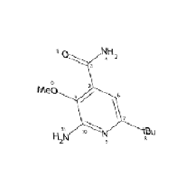 COc1c(C(N)=O)cc(C(C)(C)C)nc1N